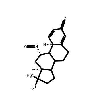 BC1(C)CCC2C3CCC4=CC(=O)C=C[C@@H]4C3[C@@H](N=O)C[C@@H]21